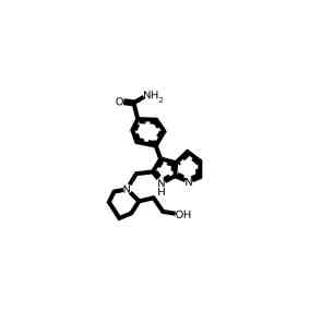 NC(=O)c1ccc(-c2c(CN3CCCCC3CCO)[nH]c3ncccc23)cc1